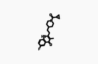 Cc1c(CCC2CCN(C(=O)C3CC3)CC2)[nH]c2ccc(F)cc2c1=O